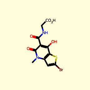 Cn1c(=O)c(C(=O)NCC(=O)O)c(O)c2sc(Br)cc21